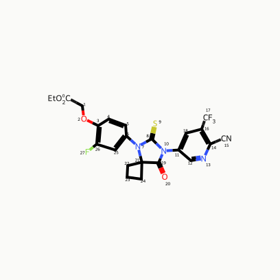 CCOC(=O)COc1ccc(N2C(=S)N(c3cnc(C#N)c(C(F)(F)F)c3)C(=O)C23CCC3)cc1F